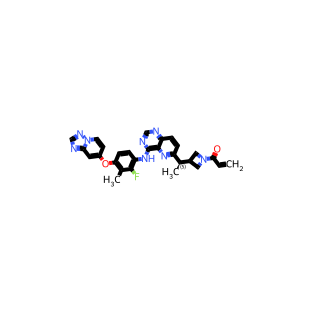 C=CC(=O)N1CC([C@H](C)c2ccc3ncnc(Nc4ccc(Oc5ccn6ncnc6c5)c(C)c4F)c3n2)C1